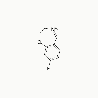 Fc1ccc2c(c1)OCC[N+]=C2